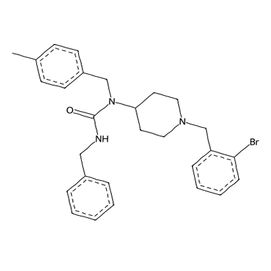 Cc1ccc(CN(C(=O)NCc2ccccc2)C2CCN(Cc3ccccc3Br)CC2)cc1